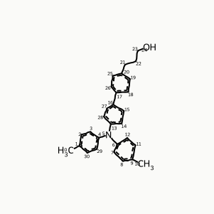 Cc1ccc(N(c2ccc(C)cc2)c2ccc(-c3ccc(CCCO)cc3)cc2)cc1